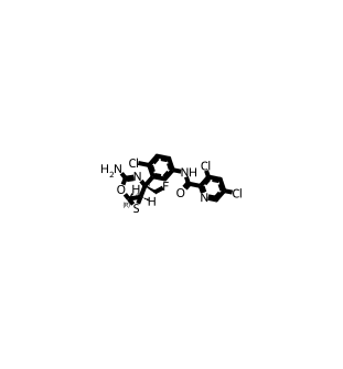 NC1=N[C@](CF)(c2cc(NC(=O)c3ncc(Cl)cc3Cl)ccc2Cl)[C@H]2S[C@H]2O1